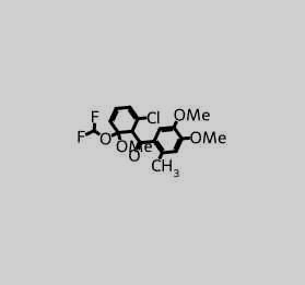 COc1cc(C)c(C(=O)C2C(Cl)=CC=CC2(OC)OC(F)F)cc1OC